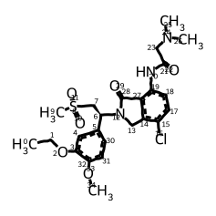 CCOc1cc([C@@H](CS(C)(=O)=O)N2Cc3c(Cl)ccc(NC(=O)CN(C)C)c3C2=O)ccc1OC